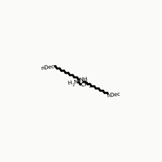 C=CCN.CCCCCCCCCCCCCCCCCCCCCCNCCCCCCCCCCCCCCCCCCCCCC